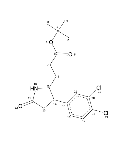 CC(C)(C)OC(=O)CCC1NC(=O)CC1c1ccc(Cl)c(Cl)c1